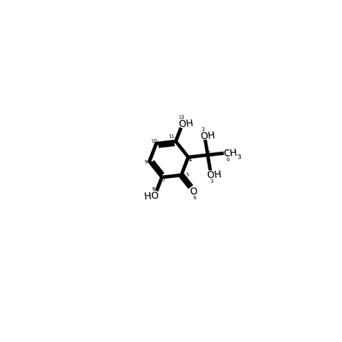 CC(O)(O)C1C(=O)C(O)=CC=C1O